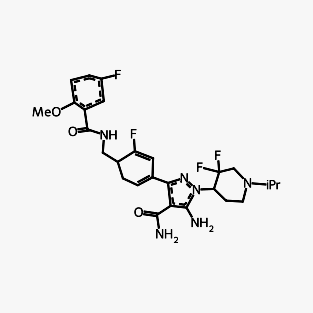 COc1ccc(F)cc1C(=O)NCC1CC=C(c2nn(C3CCN(C(C)C)CC3(F)F)c(N)c2C(N)=O)C=C1F